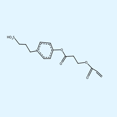 C=CC(=O)OCCC(=O)Oc1cc[n+](CCCS(=O)(=O)O)cc1